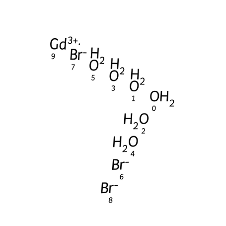 O.O.O.O.O.O.[Br-].[Br-].[Br-].[Gd+3]